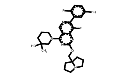 CC1(O)CCCN(c2nc(OCC34CCCN3CCC4)nc3c(F)c(-c4cc(O)ccc4F)ncc23)C1